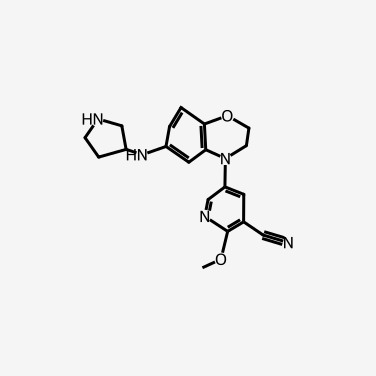 COc1ncc(N2CCOc3ccc(NC4CCNC4)cc32)cc1C#N